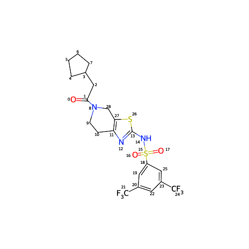 O=C(CC1CCCC1)N1CCc2nc(NS(=O)(=O)c3cc(C(F)(F)F)cc(C(F)(F)F)c3)sc2C1